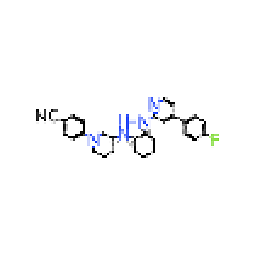 N#Cc1ccc(N2CCC[C@H](N[C@@H]3CCCC[C@H]3Nc3cc(-c4ccc(F)cc4)ccn3)C2)cc1